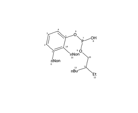 CCCCCCCCCc1cccc(OP(O)OCC(CC)CCCC)c1CCCCCCCCC